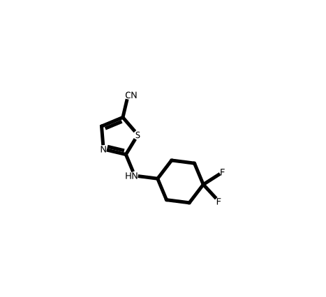 N#Cc1cnc(NC2CCC(F)(F)CC2)s1